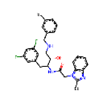 CCc1cccc(CNC[C@H](O)C(Cc2cc(F)cc(F)c2)NC(=O)Cn2c(CC)nc3ccccc32)c1